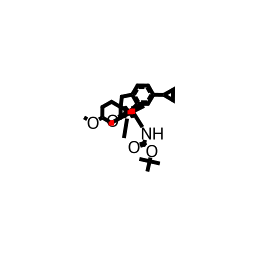 COC1CCC2(CC1)Cc1ccc(C3CC3)cc1C21N=C(NC(=O)OC(C)(C)C)N(C)C1=O